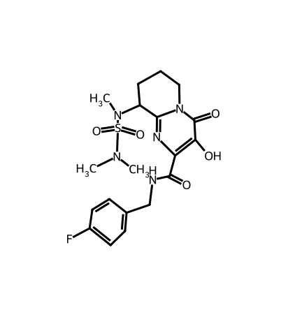 CN(C)S(=O)(=O)N(C)C1CCCn2c1nc(C(=O)NCc1ccc(F)cc1)c(O)c2=O